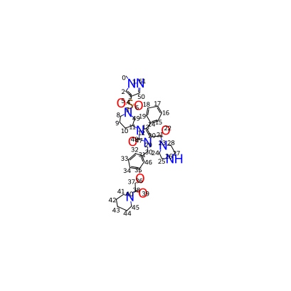 Cn1cc(S(=O)(=O)N2CCCC(n3c(-c4ccccc4)c(C(=O)N4CCNCC4)n(Cc4cccc(OCC(=O)N5CCCCC5)c4)c3=O)C2)cn1